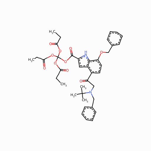 CCC(=O)OC(OC(=O)CC)(OC(=O)CC)OC(=O)c1cc2c(C(=O)CN(Cc3ccccc3)C(C)(C)C)ccc(OCc3ccccc3)c2[nH]1